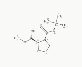 COC(O)[C@@H]1CCCN1C(=O)OC(C)(C)C